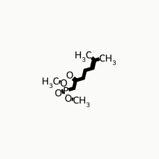 COP(=O)(CC(=O)CCC=C(C)C)OC